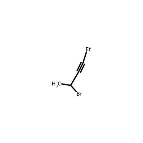 CCC#CC(C)Br